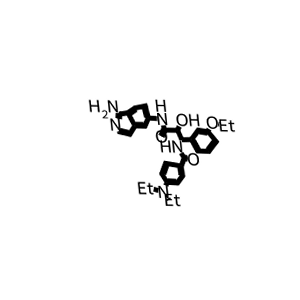 CCOc1cccc(C(NC(=O)c2ccc(N(CC)CC)cc2)C(O)C(=O)Nc2ccc3c(N)nccc3c2)c1